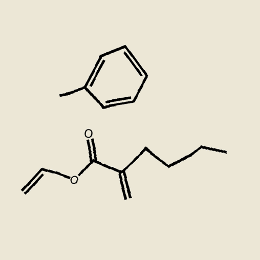 C=COC(=O)C(=C)CCCC.Cc1ccccc1